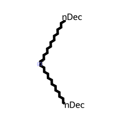 CCCCCCCCCCCCCCCCCCCCCC/C=[C]\CCCCCCCCCCCCCCCCCCCCCCC